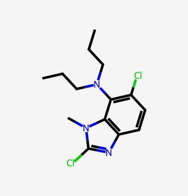 CCCN(CCC)c1c(Cl)ccc2nc(Cl)n(C)c12